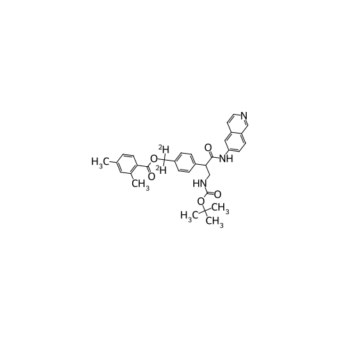 [2H]C([2H])(OC(=O)c1ccc(C)cc1C)c1ccc(C(CNC(=O)OC(C)(C)C)C(=O)Nc2ccc3cnccc3c2)cc1